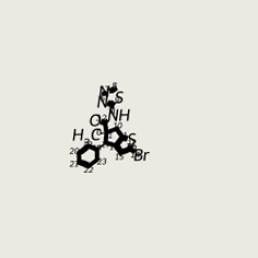 C[C@]1(C(=O)Nc2nncs2)Cc2sc(Br)cc2[C@H]1C1C=CC=CC1